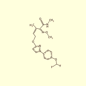 CNC(=O)C(=NOC)C(C)=CCOc1ccn(-c2ccc(OC(F)F)cc2)n1